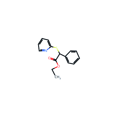 CCOC(=O)C(Sc1ccccn1)c1ccccc1